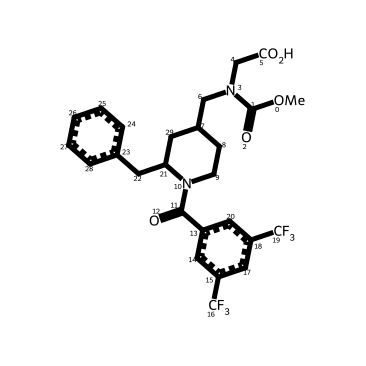 COC(=O)N(CC(=O)O)CC1CCN(C(=O)c2cc(C(F)(F)F)cc(C(F)(F)F)c2)C(Cc2ccccc2)C1